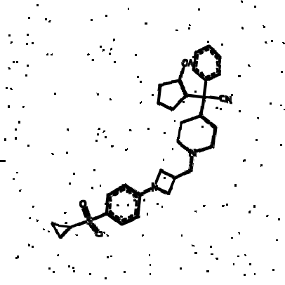 CC(=O)OC1CCCC1C(C#N)(c1ccccc1)C1CCN(CC2CN(c3ccc(S(=O)(=O)C4CC4)cc3)C2)CC1